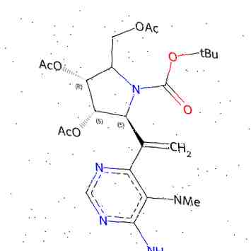 C=C(c1ncnc(N)c1NC)[C@H]1[C@H](OC(C)=O)[C@H](OC(C)=O)C(COC(C)=O)N1C(=O)OC(C)(C)C